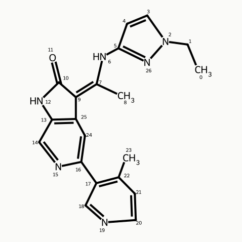 CCn1ccc(N/C(C)=C2\C(=O)Nc3cnc(-c4cnccc4C)cc32)n1